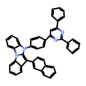 c1ccc(-c2cc(-c3ccc(-n4c5ccccc5n5c6ccccc6c(-c6ccc7ccccc7c6)c45)cc3)nc(-c3ccccc3)n2)cc1